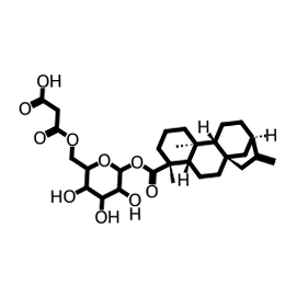 C=C1C[C@@]23CC[C@H]4[C@@](C)(CCC[C@@]4(C)C(=O)OC4OC(COC(=O)CC(=O)O)C(O)C(O)C4O)[C@@H]2CC[C@@H]1C3